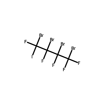 FC(F)(Br)C(F)(Br)C(F)(Br)C(F)(Br)I